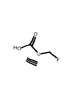 C#C.O=C(O)OCF